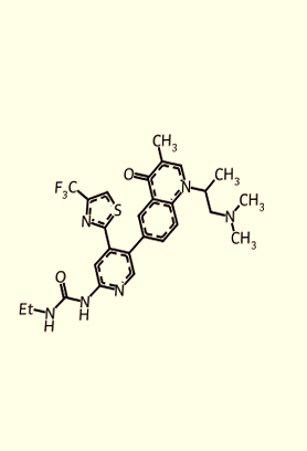 CCNC(=O)Nc1cc(-c2nc(C(F)(F)F)cs2)c(-c2ccc3c(c2)c(=O)c(C)cn3C(C)CN(C)C)cn1